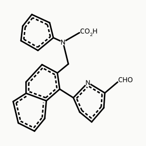 O=Cc1cccc(-c2c(CN(C(=O)O)c3ccccc3)ccc3ccccc23)n1